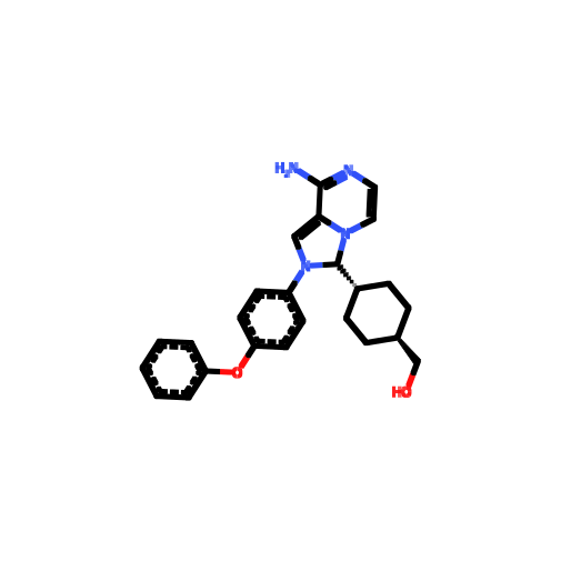 NC1=NC=CN2C1=CN(c1ccc(Oc3ccccc3)cc1)C2[C@H]1CC[C@H](CO)CC1